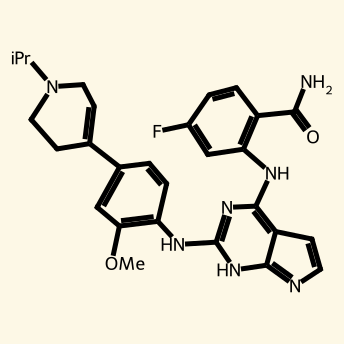 COc1cc(C2=CCN(C(C)C)CC2)ccc1Nc1nc(Nc2cc(F)ccc2C(N)=O)c2ccnc-2[nH]1